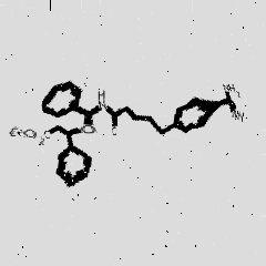 CCOC(=O)CC(OC(NC(=O)CCCCc1ccc(C(=N)N)cc1)c1ccccc1)c1ccccc1